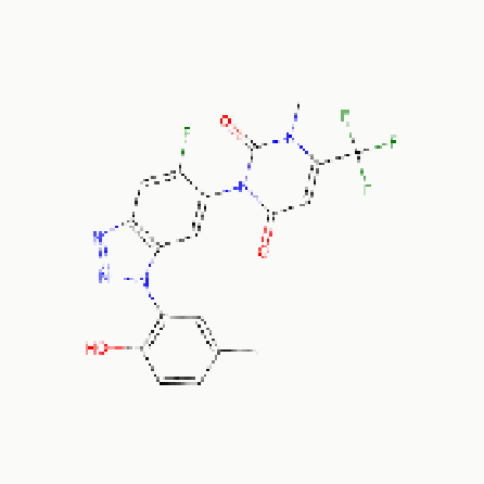 Cc1ccc(O)c(-n2nnc3cc(F)c(-n4c(=O)cc(C(F)(F)F)n(C)c4=O)cc32)c1